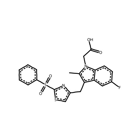 Cc1c(Cc2csc(S(=O)(=O)c3ccccc3)n2)c2cc(F)ccc2n1CC(=O)O